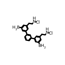 Bc1cc(CCNCl)cc(-c2cccc(-c3cc(B)cc(CCNCl)c3)c2)c1